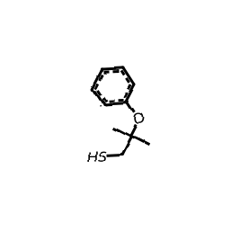 CC(C)(CS)Oc1[c]cccc1